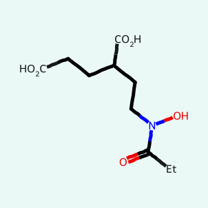 CCC(=O)N(O)CCC(CCC(=O)O)C(=O)O